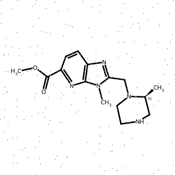 COC(=O)c1ccc2nc(CN3CCNC[C@@H]3C)n(C)c2n1